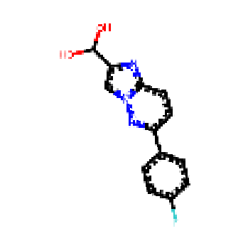 OC(O)c1cn2nc(-c3ccc(F)cc3)ccc2n1